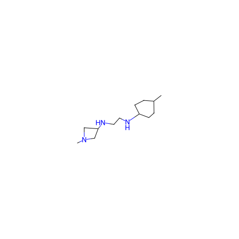 CC1CCC(NCCNC2CN(C)C2)CC1